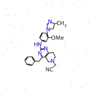 COc1cc(Nc2nc3c(c(Cc4ccccc4)n2)CN(CC#N)CC3)ccc1N1C=NC(C)C1